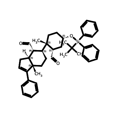 CC(C)(C)[Si](O[C@H]1CC[C@@](C)([C@H]2CC[C@]3(C)C(c4ccccc4)=CC[C@H]3[C@@H]2C=O)[C@@H](C=O)C1)(c1ccccc1)c1ccccc1